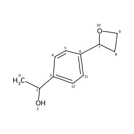 CC(O)c1ccc(C2CCO2)cc1